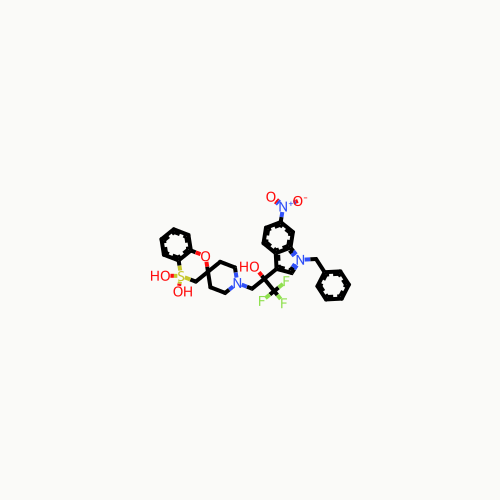 O=[N+]([O-])c1ccc2c(C(O)(CN3CCC4(CC3)CS(O)(O)c3ccccc3O4)C(F)(F)F)cn(Cc3ccccc3)c2c1